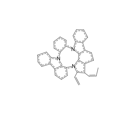 C=Cc1c(/C=C\C)c2ccc3c4ccccc4n4c5ccccc5n5c6ccccc6c6cccc(c65)n1c2c34